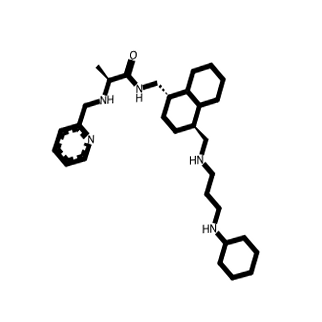 C[C@H](NCc1ccccn1)C(=O)NC[C@H]1CC[C@H](CNCCCNC2CCCCC2)C2CCCCC21